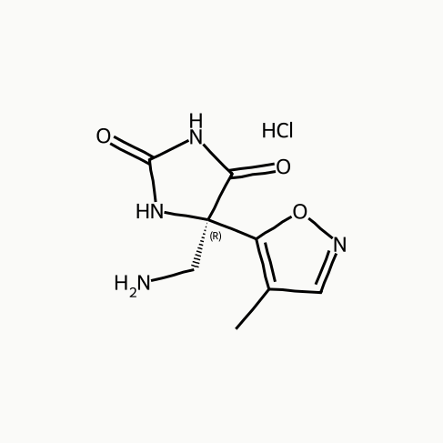 Cc1cnoc1[C@@]1(CN)NC(=O)NC1=O.Cl